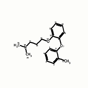 Cc1ccccc1Oc1ccccc1OCCCN(C)C